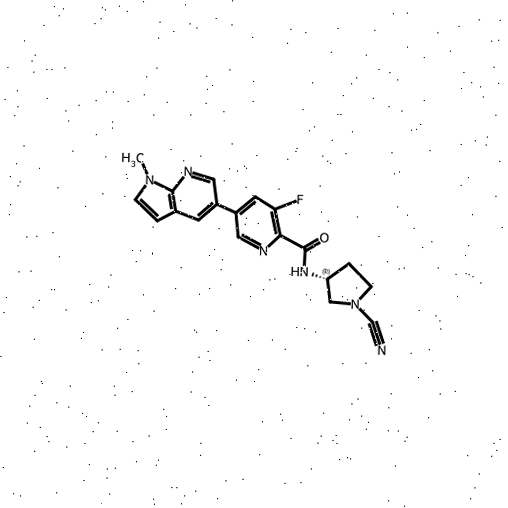 Cn1ccc2cc(-c3cnc(C(=O)N[C@@H]4CCN(C#N)C4)c(F)c3)cnc21